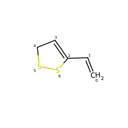 C=CC1=CCSS1